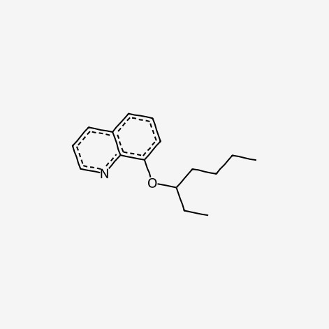 CCCCC(CC)Oc1cccc2cccnc12